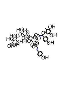 Cc1c(O)cc(O)cc1O/C(=C(\C=O)OC1OC(COC2OC(C)C(O)C(OCC(O)C(O)C(O)C(O)CO)C2O)C(O)C(O)C1OC(=O)/C=C/c1ccc(O)cc1)c1ccc(O)cc1